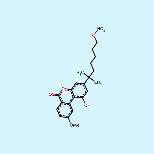 COc1ccc2c(=O)oc3cc(C(C)(C)CCCCCO[N+](=O)[O-])cc(O)c3c2c1